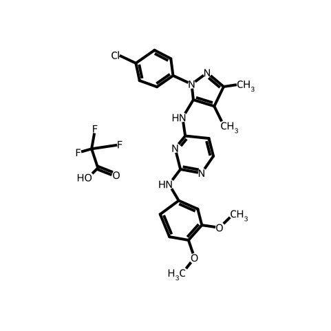 COc1ccc(Nc2nccc(Nc3c(C)c(C)nn3-c3ccc(Cl)cc3)n2)cc1OC.O=C(O)C(F)(F)F